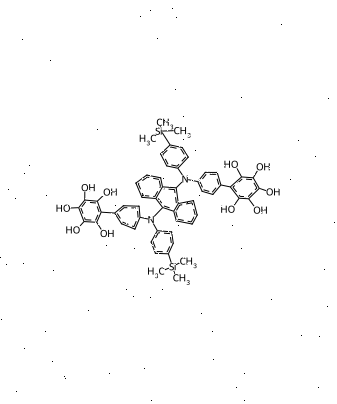 C[Si](C)(C)c1ccc(N(c2ccc(-c3c(O)c(O)c(O)c(O)c3O)cc2)c2c3ccccc3c(N(c3ccc(-c4c(O)c(O)c(O)c(O)c4O)cc3)c3ccc([Si](C)(C)C)cc3)c3ccccc23)cc1